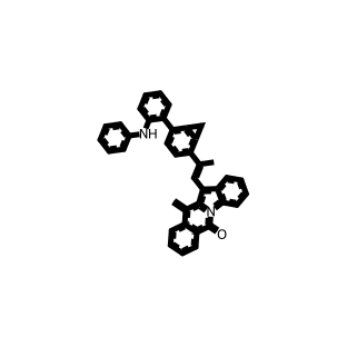 C=c1c2ccccc2c(=O)n2c1c(/C=C(\C)c1ccc(-c3ccccc3Nc3ccccc3)c3c1C3)c1ccccc12